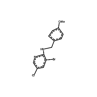 COc1ccc(CNc2ncc(Cl)cc2Br)cc1